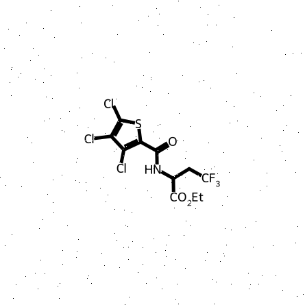 CCOC(=O)C(CC(F)(F)F)NC(=O)c1sc(Cl)c(Cl)c1Cl